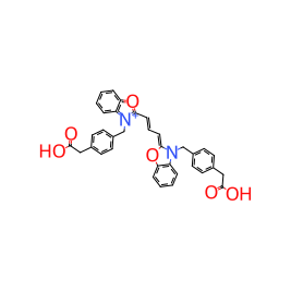 O=C(O)Cc1ccc(CN2/C(=C/C=C/c3oc4ccccc4[n+]3Cc3ccc(CC(=O)O)cc3)Oc3ccccc32)cc1